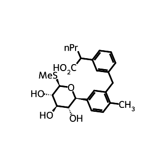 CCCC(C(=O)O)c1cccc(Cc2cc([C@@H]3O[C@H](SC)[C@@H](O)[C@H](O)[C@H]3O)ccc2C)c1